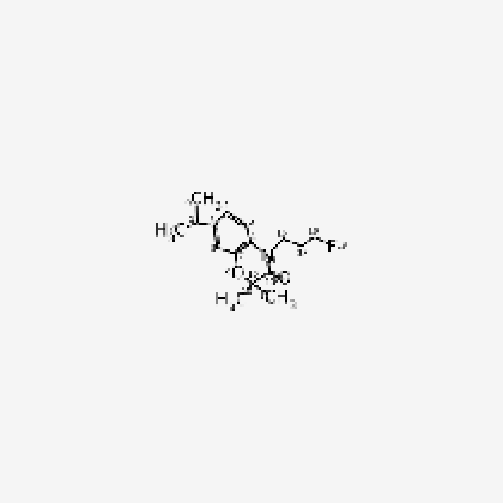 CC(C)c1ccc2c(c1)OC(C)(C)C(=O)N2CCCF